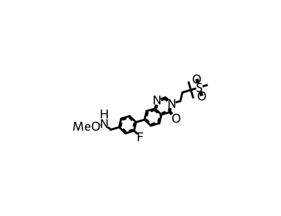 CONCc1ccc(-c2ccc3c(=O)n(CCC(C)(C)S(C)(=O)=O)cnc3c2)c(F)c1